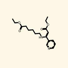 CCOC(=O)C=C(NCCCCCC(=O)OCC)c1cccnc1